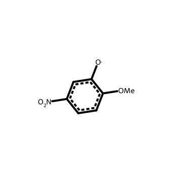 COc1ccc([N+](=O)[O-])cc1[O]